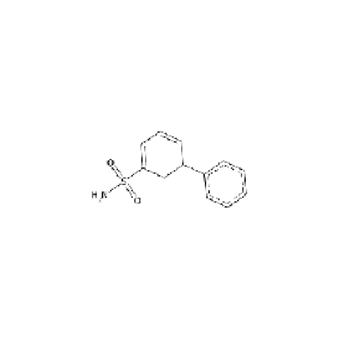 NS(=O)(=O)C1=CC=CC(c2ccccc2)C1